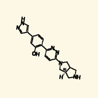 Oc1cc(-c2cn[nH]c2)ccc1-c1ccc(N2CC3CNC[C@H]3C2)nn1